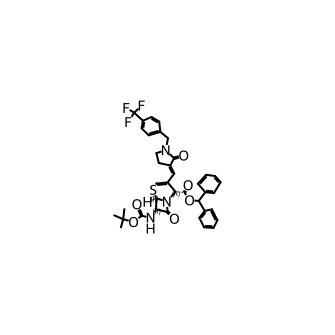 CC(C)(C)OC(=O)N[C@@H]1C(=O)N2[C@@H](C(=O)OC(c3ccccc3)c3ccccc3)C(C=C3CCN(Cc4ccc(C(F)(F)F)cc4)C3=O)=CS[C@H]12